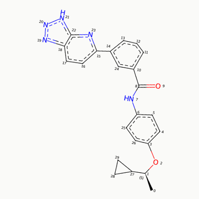 C[C@H](Oc1ccc(NC(=O)c2cccc(-c3ccc4nn[nH]c4n3)c2)cc1)C1CC1